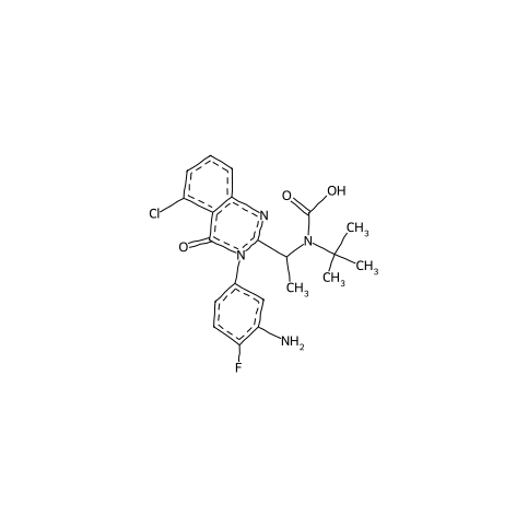 CC(c1nc2cccc(Cl)c2c(=O)n1-c1ccc(F)c(N)c1)N(C(=O)O)C(C)(C)C